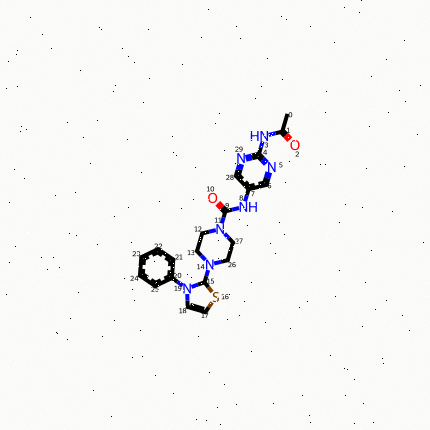 CC(=O)Nc1ncc(NC(=O)N2CCN(C3SC=CN3c3ccccc3)CC2)cn1